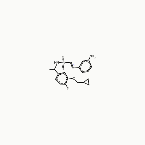 CC(NS(=O)(=O)/C=C/c1cccc(N)c1)c1ccc(F)c(OCC2CC2)c1